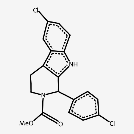 COC(=O)N1CCc2c([nH]c3ccc(Cl)cc23)C1c1ccc(Cl)cc1